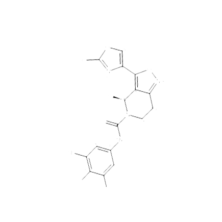 Cc1nc(-c2onc3c2[C@H](C)N(C(=O)Nc2cc(F)c(F)c(F)c2)CC3)co1